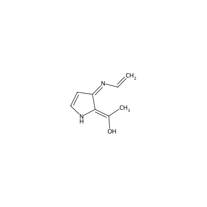 C=C/N=C1/C=CN/C1=C(/C)O